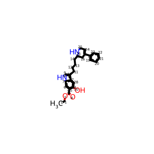 CCOC(=O)c1cc2[nH]cc(CCCCC3CC(c4ccccc4)=CCN3)c2cc1O